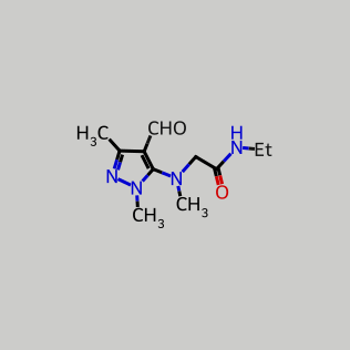 CCNC(=O)CN(C)c1c(C=O)c(C)nn1C